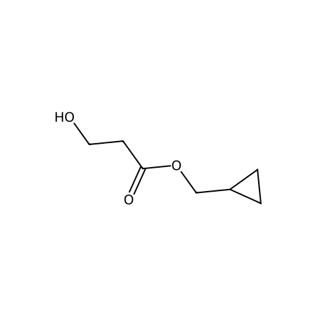 O=C(CCO)OCC1CC1